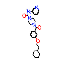 CN(C(=O)N1CCN(C(=O)c2cccc(OCCC3CCCCC3)c2)CC1)c1cccnc1